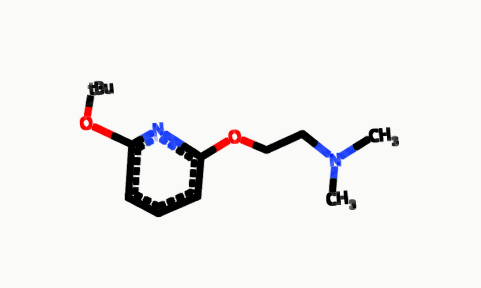 CN(C)CCOc1cccc(OC(C)(C)C)n1